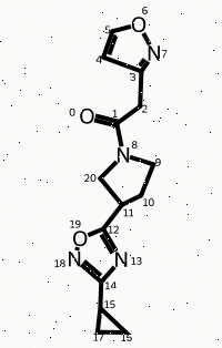 O=C(Cc1ccon1)N1CCC(c2nc(C3CC3)no2)C1